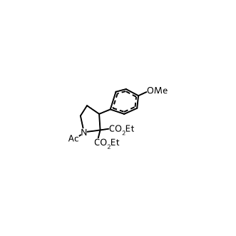 CCOC(=O)C1(C(=O)OCC)C(c2ccc(OC)cc2)CCN1C(C)=O